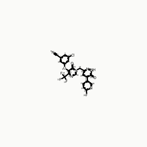 N#Cc1cc(Cl)cc(Oc2c(C(F)(F)F)ncn(Cc3cc(-c4ccc(F)nc4)c(=O)[nH]n3)c2=O)c1